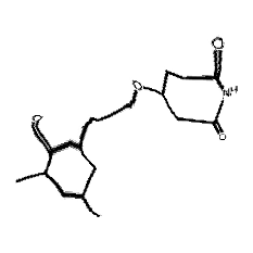 CC1CC(C)C(=O)C(CCOC2CC(=O)NC(=O)C2)C1